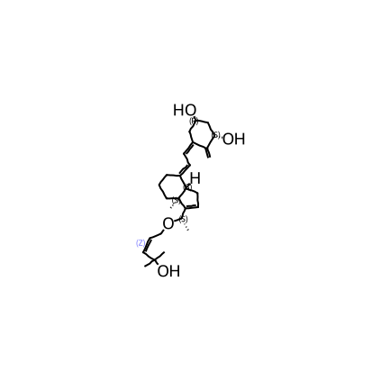 C=C1C(=CC=C2CCC[C@]3(C)C([C@H](C)OC/C=C\C(C)(C)O)=CC[C@@H]23)C[C@@H](O)C[C@@H]1O